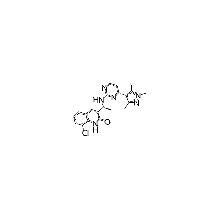 Cc1nn(C)c(C)c1-c1ccnc(N[C@@H](C)c2cc3cccc(Cl)c3[nH]c2=O)n1